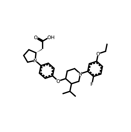 CCOc1ccc(F)c(N2CCC(Oc3ccc(N4CCC[C@@H]4CC(=O)O)cc3)C(C(C)C)C2)c1